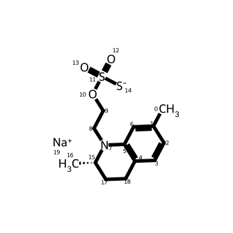 Cc1ccc2c(c1)N(CCOS(=O)(=O)[S-])[C@@H](C)CC2.[Na+]